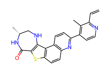 C=Cc1nccc(-c2ccc3c(ccc4sc5c(c43)NC[C@@H](C)NC5=O)n2)c1C